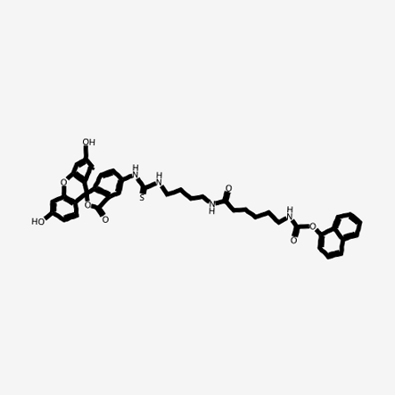 O=C(CCCCCNC(=O)Oc1cccc2ccccc12)NCCCCNC(=S)Nc1ccc2c(c1)C(=O)OC21c2ccc(O)cc2Oc2cc(O)ccc21